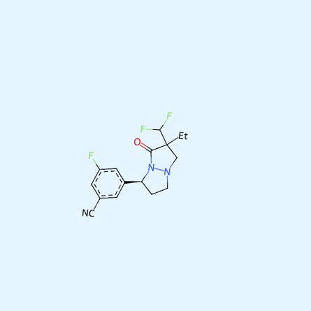 CCC1(C(F)F)CN2CC[C@@H](c3cc(F)cc(C#N)c3)N2C1=O